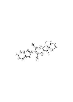 CC(C)C1(C(C)C)SC=CS1.O=C(O)C(C(=O)O)C1=Cc2ccccc2C1